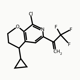 C=C(c1cc2c(c(Cl)n1)OCCC2C1CC1)C(F)(F)F